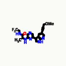 COCC#Cc1cnc2[nH]cc(-c3cncc(N[C@H](C)C(=O)NCC(F)(F)F)n3)c2c1